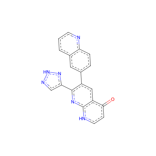 O=c1cc[nH]c2nc(-c3cn[nH]n3)c(-c3ccc4ncccc4c3)cc12